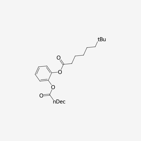 CCCCCCCCCCC(=O)Oc1ccccc1OC(=O)CCCCCC(C)(C)C